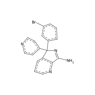 NC1=NC(c2ccncc2)(c2cccc(Br)c2)c2cccnc21